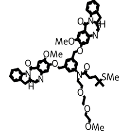 COCCOCCOCCN(C(=O)CCC(C)(C)SC)c1cc(COc2cc3c(cc2OC)C(=O)N2c4ccccc4C[C@H]2C=N3)cc(COc2cc3c(cc2OC)C(=O)N2c4ccccc4C[C@H]2C=N3)c1